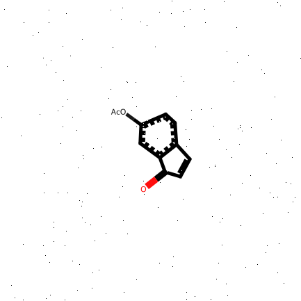 CC(=O)Oc1ccc2c(c1)C(=O)C=C2